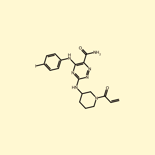 C=CC(=O)N1CCCC(Nc2nnc(C(N)=O)c(Nc3ccc(I)cc3)n2)C1